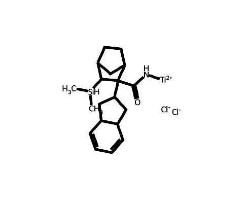 C[SiH](C)C1C2CCC(C2)C1(C(=O)[NH][Ti+2])C1CC2C=CC=CC2C1.[Cl-].[Cl-]